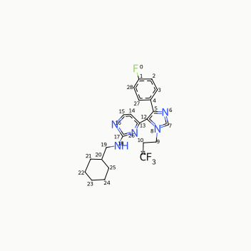 Fc1ccc(-c2ncn(CCC(F)(F)F)c2-c2ccnc(NCC3CCCCC3)n2)cc1